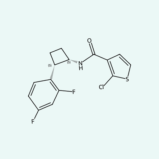 O=C(N[C@H]1CC[C@H]1c1ccc(F)cc1F)c1ccsc1Cl